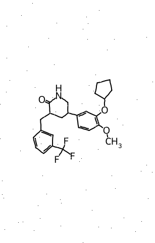 COc1ccc(C2CNC(=O)C(Cc3cccc(C(F)(F)F)c3)C2)cc1OC1CCCC1